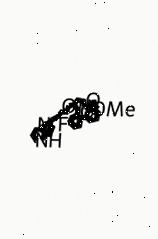 COC(=O)CN1CCC(OCCCCc2ccc3c(n2)CCCN3)C1c1cc(F)ccc1C1CCCCO1